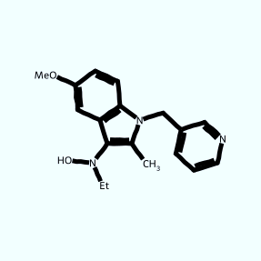 CCN(O)c1c(C)n(Cc2cccnc2)c2ccc(OC)cc12